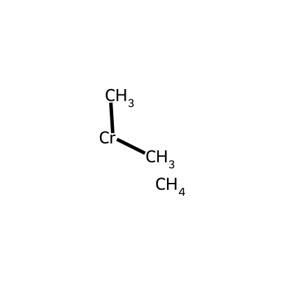 C.[CH3][Cr][CH3]